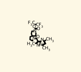 Cc1cc(C)n2nc(C)c(C(=O)N3CCCC34CCN(C(=O)OC(C(F)(F)F)C(F)(F)F)CC4)c2n1